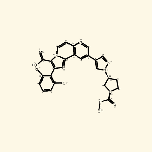 C=C(C)c1c(-c2c(Cl)cccc2Cl)nc2c3cc(-c4cnn([C@H]5CCN(C(=O)OC(C)(C)C)C5)c4)cnc3ccn12